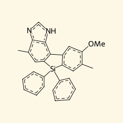 COc1cc2c(cc1C)[Si](c1ccccc1)(c1ccccc1)c1cc(C)c3nc[nH]c3c1-2